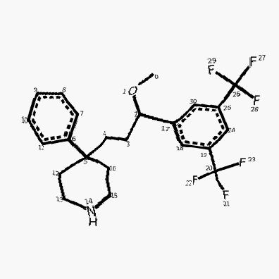 COC(CCC1(c2ccccc2)CCNCC1)c1cc(C(F)(F)F)cc(C(F)(F)F)c1